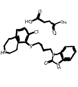 O=C(O)CCC(=O)O.O=c1[nH]c2ccccc2n1CCCSc1c(Cl)ccc2c1CCNCC2